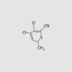 CC1C=C(Cl)C(Cl)=C(C#N)S1